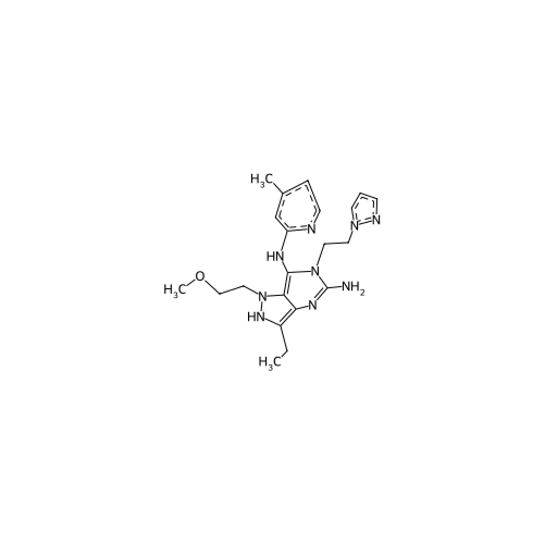 CCC1=C2N=C(N)N(CCn3cccn3)C(Nc3cc(C)ccn3)=C2N(CCOC)N1